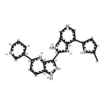 Cc1ccc(-c2cncc3[nH]c(-c4n[nH]c5ccc(-c6cccnc6)nc45)nc23)s1